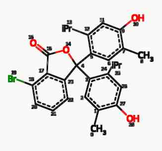 Cc1cc(C2(c3cc(C)c(O)cc3C(C)C)OC(=O)c3c(Br)cccc32)c(C(C)C)cc1O